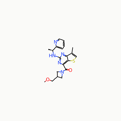 COCC1CN(C(=O)c2nc(N[C@@H](C)c3ccccn3)nc3c(C)csc23)C1